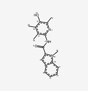 Cc1nc(NC(=O)c2cc3ccccc3n2C)c(C)c(C)c1O